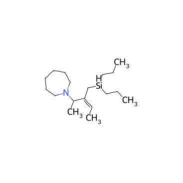 C/C=C(/C[SiH](CCC)CCC)C(C)N1CCCCCC1